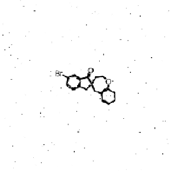 O=C1c2cc(Br)ccc2CC12CCOC1=C(C=CCC1)C2